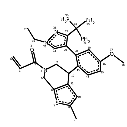 C=CC(=O)N1Cc2sc(C)cc2C(c2ccc(OC)cc2-c2cn(CC)nc2C(P)(P)P)C1